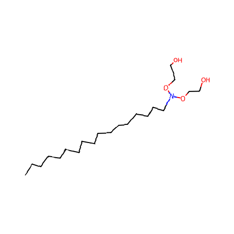 CCCCCCCCCCCCCCCCCN(OCCO)OCCO